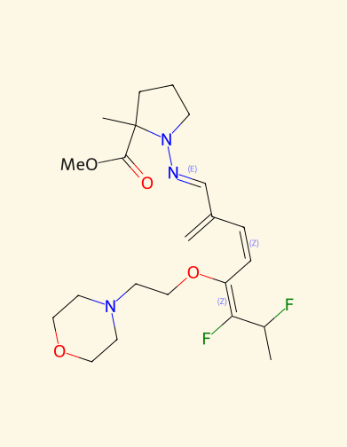 C=C(/C=C\C(OCCN1CCOCC1)=C(\F)C(C)F)/C=N/N1CCCC1(C)C(=O)OC